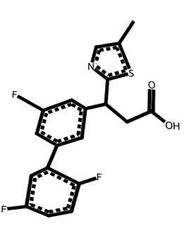 Cc1cnc(C(CC(=O)O)c2cc(F)cc(-c3cc(F)ccc3F)c2)s1